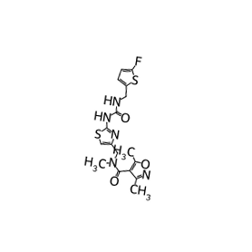 Cc1noc(C)c1C(=O)N(C)Cc1csc(NC(=O)NCc2ccc(F)s2)n1